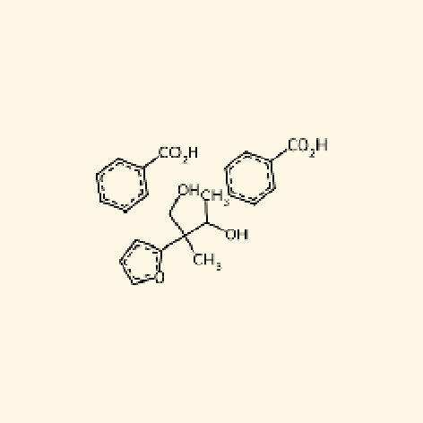 CC(O)C(C)(CO)c1ccco1.O=C(O)c1ccccc1.O=C(O)c1ccccc1